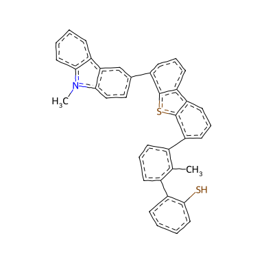 Cc1c(-c2ccccc2S)cccc1-c1cccc2c1sc1c(-c3ccc4c(c3)c3ccccc3n4C)cccc12